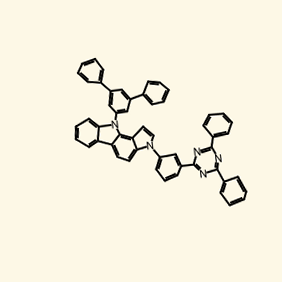 c1ccc(-c2cc(-c3ccccc3)cc(-n3c4ccccc4c4ccc5c(ccn5-c5cccc(-c6nc(-c7ccccc7)nc(-c7ccccc7)n6)c5)c43)c2)cc1